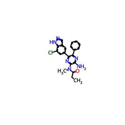 CCC(=O)N(C)c1nc(-c2cc(Cl)c3[nH]ncc3c2)c(-c2ccccc2)nc1N